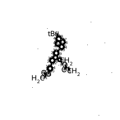 C=CC(=O)OCCCC1(C=C)c2cc(-c3ccc(OC(=O)C=C)cc3)ccc2-c2ccc(-c3ccc4ccc5cc(C(C)(C)C)cc6ccc3c4c56)cc21